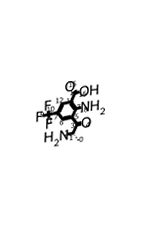 C[C@H](N)C(=O)c1cc(C(F)(F)F)cc(C(=O)O)c1N